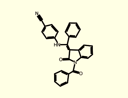 N#Cc1ccc(N/C(=C2\C(=O)N(C(=O)c3ccccc3)c3ccccc32)c2ccccc2)cc1